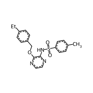 CCc1ccc(COc2nccnc2NS(=O)(=O)c2ccc(C)cc2)cc1